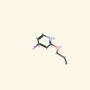 CCCOc1cc(I)ccn1